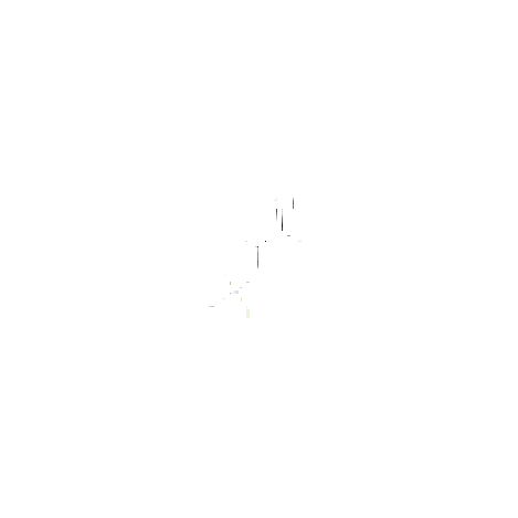 C=C(F)C(F)OC(F)(F)F